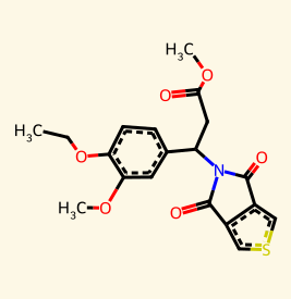 CCOc1ccc(C(CC(=O)OC)N2C(=O)c3cscc3C2=O)cc1OC